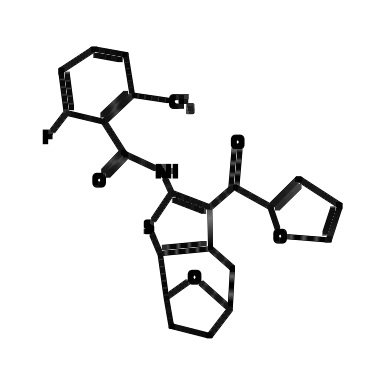 O=C(Nc1sc2c(c1C(=O)c1ccco1)CC1CCC2O1)c1c(F)cccc1C(F)(F)F